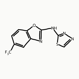 FC(F)(F)c1ccc2oc(Nc3nncs3)nc2c1